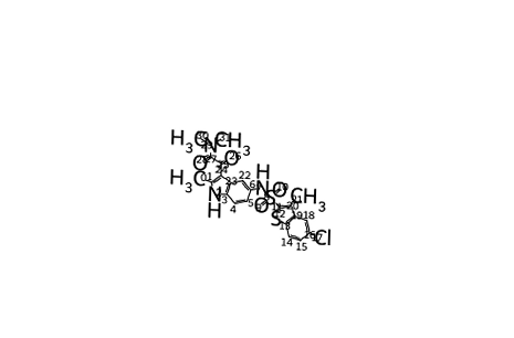 Cc1[nH]c2ccc(NS(=O)(=O)c3sc4ccc(Cl)cc4c3C)cc2c1C(=O)C(=O)N(C)C